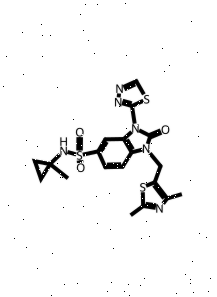 Cc1nc(C)c(Cn2c(=O)n(-c3nncs3)c3cc(S(=O)(=O)NC4(C)CC4)ccc32)s1